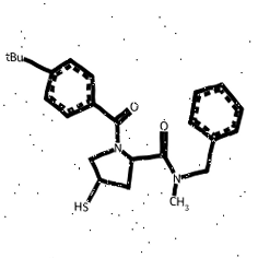 CN(Cc1ccccc1)C(=O)C1CC(S)CN1C(=O)c1ccc(C(C)(C)C)cc1